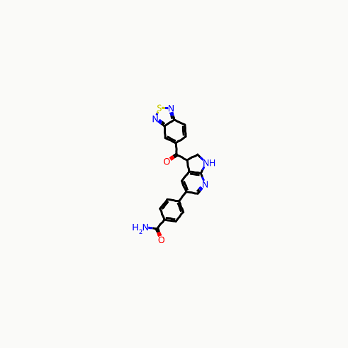 NC(=O)c1ccc(-c2cnc3c(c2)C(C(=O)c2ccc4nsnc4c2)CN3)cc1